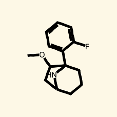 COC1CC2CCCC1(c1ccccc1F)N2